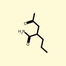 CCCC(CC(C)=O)C(N)=O